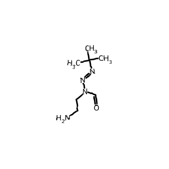 CC(C)(C)N=NN(C=O)CCN